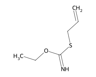 C=CCSC(=N)OCC